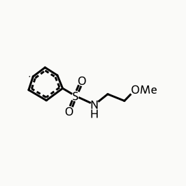 COCCNS(=O)(=O)c1cc[c]cc1